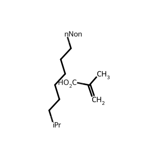 C=C(C)C(=O)O.CCCCCCCCCCCCCCCC(C)C